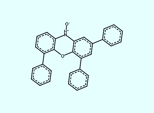 [O-][NH+]1c2cccc(-c3ccccc3)c2Oc2c(-c3ccccc3)cc(-c3ccccc3)cc21